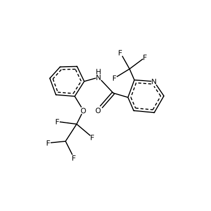 O=C(Nc1ccccc1OC(F)(F)C(F)F)c1cccnc1C(F)(F)F